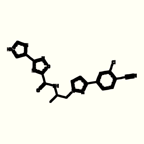 CC(Cn1ccc(-c2ccc(C#N)c(Cl)c2)n1)NC(=O)c1nc(-c2c[nH]cn2)no1